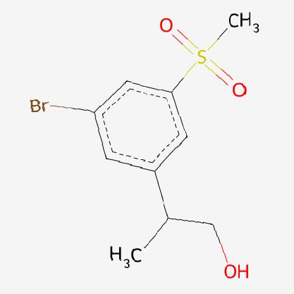 CC(CO)c1cc(Br)cc(S(C)(=O)=O)c1